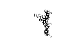 C=CCn1c(=O)c2cnc(Nc3ccc(N4CCN(C)CC4)cc3)nc2n1-c1ccc2c(c1)C(CC)CC2